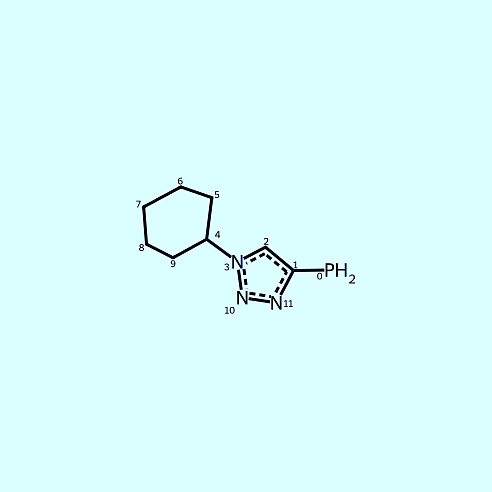 Pc1cn(C2CCCCC2)nn1